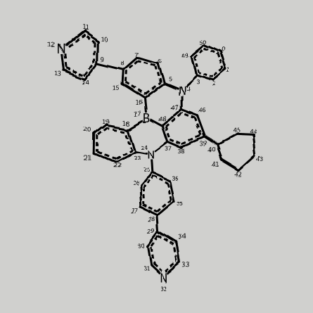 c1ccc(N2c3ccc(-c4ccncc4)cc3B3c4ccccc4N(c4ccc(-c5ccncc5)cc4)c4cc(C5CCCCC5)cc2c43)cc1